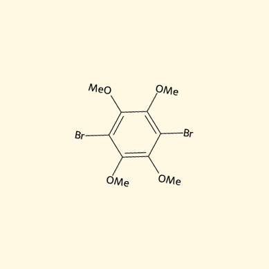 COc1c(Br)c(OC)c(OC)c(Br)c1OC